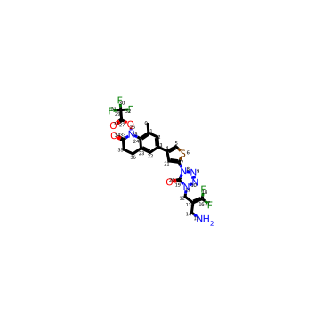 Cc1cc(-c2csc(-n3nnn(CC(CN)=C(F)F)c3=O)c2)cc2c1N(OC(=O)C(F)(F)F)C(=O)CC2